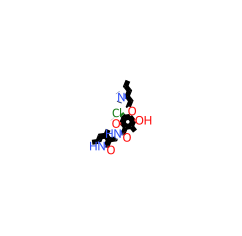 CCCC(CCOc1c(O)c(C)c(C(=O)NCc2c(C)cc(C)[nH]c2=O)c(OC)c1Cl)N(C)C